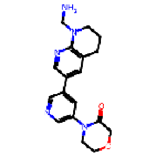 NCN1CCCc2cc(-c3cncc(N4CCOCC4=O)c3)cnc21